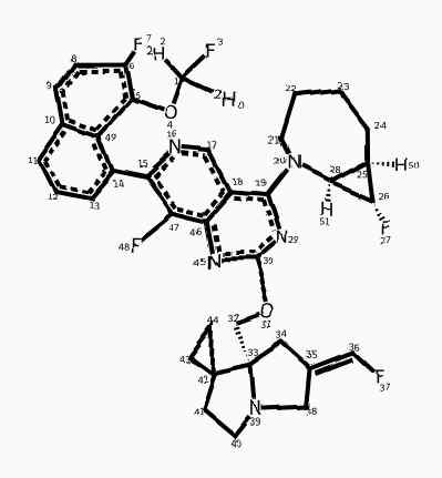 [2H]C([2H])(F)Oc1c(F)ccc2cccc(-c3ncc4c(N5CCCC[C@H]6[C@H](F)[C@H]65)nc(OC[C@]56C/C(=C/F)CN5CCC65CC5)nc4c3F)c12